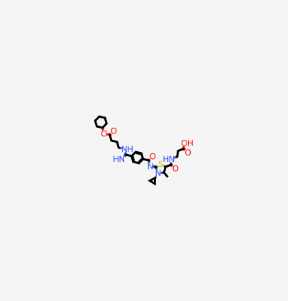 CC1C(C(=O)NCCC(=O)O)SC(=NC(=O)c2ccc(C(=N)NCCCC(=O)OC3CCCCC3)cc2)N1C1CC1